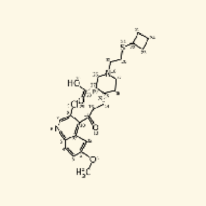 COc1ccc2ncc(Cl)c(C(=O)CC[C@H]3CCN(CCSC4CCC4)C[C@H]3C(=O)O)c2c1